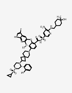 CCOc1nc2[nH]cc(F)c2cc1Oc1cc(N2CCC3(CC2)CC(N2CCN(S(=O)(=O)C4CC4)C[C@H]2c2ccccc2C(C)C)C3)ccc1C(=O)NS(=O)(=O)c1cnc(NCC2CCC(C)(O)CC2)c([N+](=O)[O-])c1